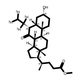 [2H]C([2H])C([2H])([2H])[C@H]1C(=O)[C@@H]2[C@H](CC[C@]3(C)[C@@H]([C@H](C)CCC(=O)OC)CC[C@@H]23)[C@@]2(C)CC[C@@H](O)C[C@@H]12